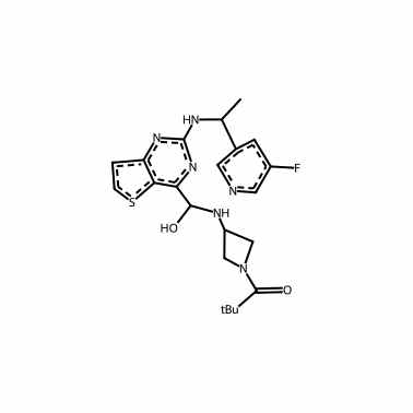 CC(Nc1nc(C(O)NC2CN(C(=O)C(C)(C)C)C2)c2sccc2n1)c1cncc(F)c1